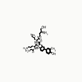 Cc1cc(-c2ccc(O)c(C[C@H](NC(=O)[C@H](CCCN)NC(=O)CN)C(=O)N[C@@H](CCCN)C(=O)NCC[C@H](N)CO)c2)ccc1O